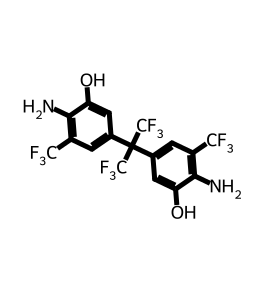 Nc1c(O)cc(C(c2cc(O)c(N)c(C(F)(F)F)c2)(C(F)(F)F)C(F)(F)F)cc1C(F)(F)F